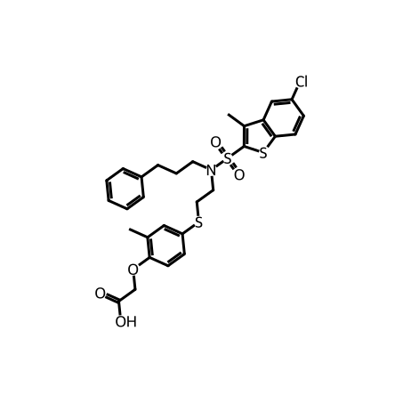 Cc1cc(SCCN(CCCc2ccccc2)S(=O)(=O)c2sc3ccc(Cl)cc3c2C)ccc1OCC(=O)O